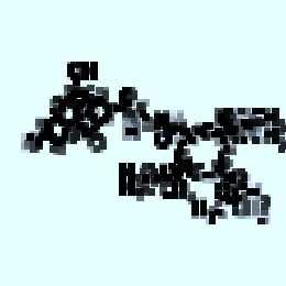 CC(C)(C)OC(=O)N1CCN(CC(=O)NCCNC(=O)c2ccc3c(c2)C(=O)OC32c3ccc(O)cc3Oc3cc(O)ccc32)CCN(C(=O)OC(C)(C)C)CCN(C(=O)OC(C)(C)C)CC1